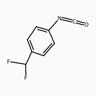 O=C=Nc1ccc(C(F)F)cc1